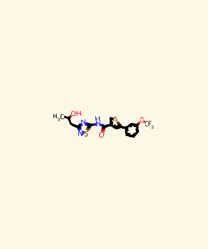 CC(O)Cc1nsc(NC(=O)c2csc(-c3cccc(OC(F)(F)F)c3)c2)n1